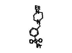 CCN1CCN(Cc2cccc(S(=O)(=O)C(C)C)c2)CC1